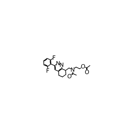 CC(=O)OCCN(CC1CCCc2cc(-c3c(F)cccc3F)nnc21)C(C)=O